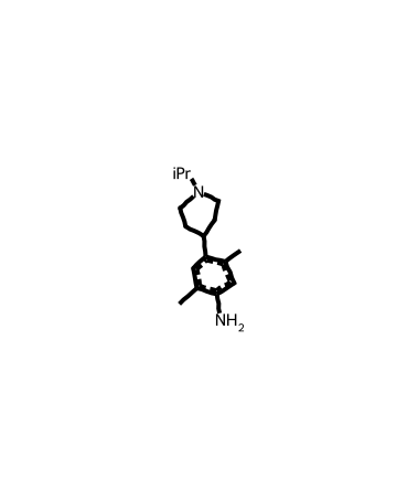 Cc1cc(C2CCN(C(C)C)CC2)c(C)cc1N